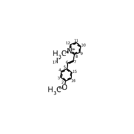 COc1ccc(/C=C/c2cccc[n+]2C)cc1.[I-]